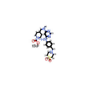 CN(CC1CCN(C(=O)OC(C)(C)C)CC1)c1cc(Nc2ccc(CN3CCS(=O)(=O)CC3)cc2)ncn1